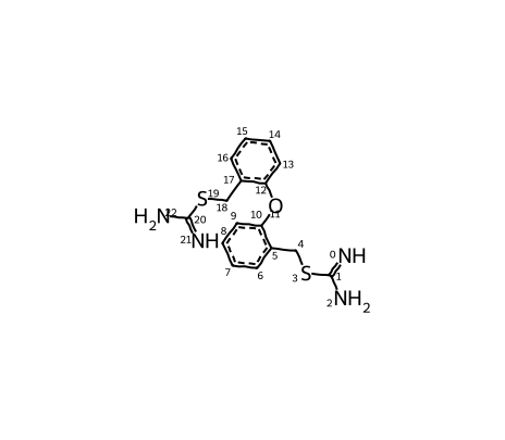 N=C(N)SCc1ccccc1Oc1ccccc1CSC(=N)N